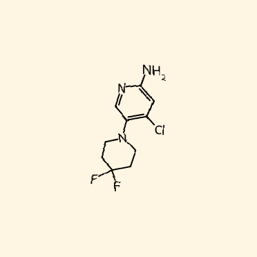 Nc1cc(Cl)c(N2CCC(F)(F)CC2)cn1